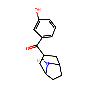 CN1C2CCC1CC(C(=O)c1cccc(O)c1)C2